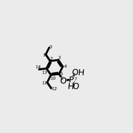 CCc1ccc(O[PH](=O)O)c(CC)c1C